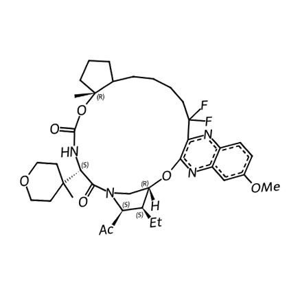 CC[C@@H]1[C@@H]2CN(C(=O)[C@H](C3(C)CCOCC3)NC(=O)O[C@]3(C)CCCC3CCCCC(F)(F)c3nc4ccc(OC)cc4nc3O2)[C@@H]1C(C)=O